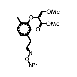 CCCON=CCc1ccc(C)c(OC(=COC)C(=O)OC)c1